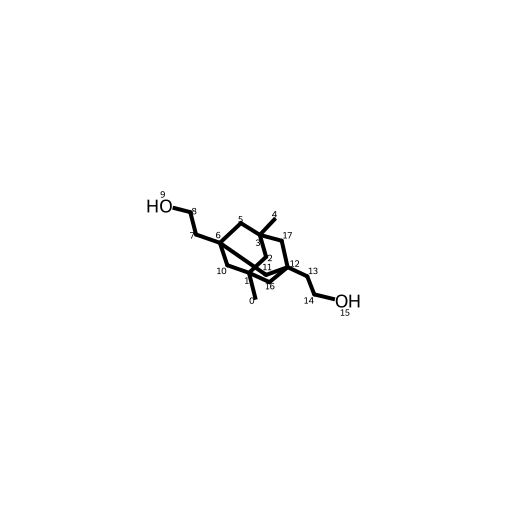 CC12CC3(C)CC(CCO)(C1)CC(CCO)(C2)C3